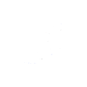 COc1cc2c(C=CC(=O)c3ccncc3)c(C)[nH]c2cc1N=[N+]=[N-]